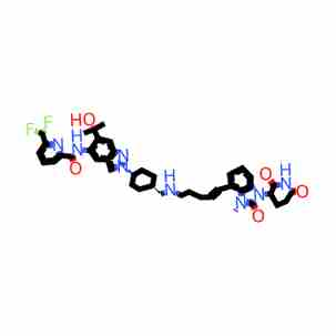 Cn1c(=O)n(C2CCC(=O)NC2=O)c2cccc(C#CCCCNC[C@H]3CC[C@H](n4cc5cc(NC(=O)c6cccc(C(F)F)n6)c(C(C)(C)O)cc5n4)CC3)c21